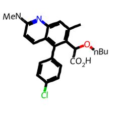 CCCCOC(C(=O)O)c1c(C)cc2nc(NC)ccc2c1-c1ccc(Cl)cc1